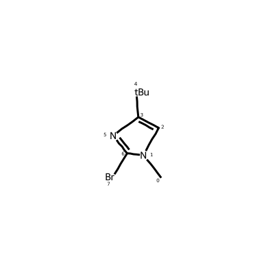 Cn1cc(C(C)(C)C)nc1Br